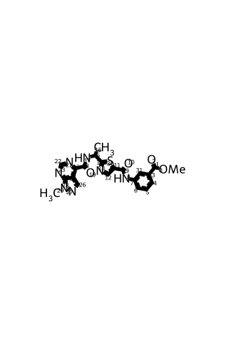 COC(=O)c1cccc(NC(=O)c2cnc(C(C)NC(=O)c3ncnc4c3cnn4C)s2)c1